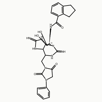 N=C1NC2C(CN3C(=O)CN(c4ccccc4)C3=O)NC(=N)N3C[C@H](NC(=O)c4cccc5c4CCC5)C(O)(O)C23N1